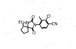 CCC1CCCC12NC(=O)N(c1ccc(C#N)c(Cl)c1C)C2=O